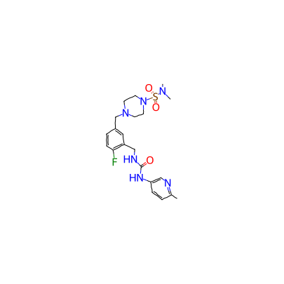 Cc1ccc(NC(=O)NCc2cc(CN3CCN(S(=O)(=O)N(C)C)CC3)ccc2F)cn1